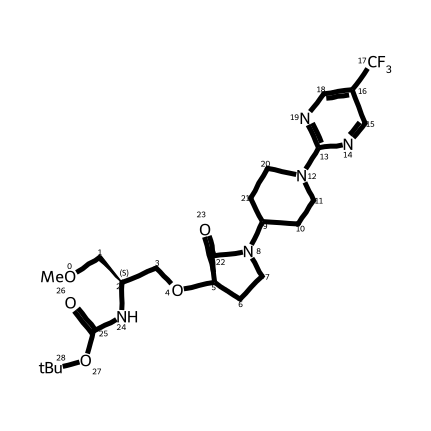 COC[C@@H](COC1CCN(C2CCN(c3ncc(C(F)(F)F)cn3)CC2)C1=O)NC(=O)OC(C)(C)C